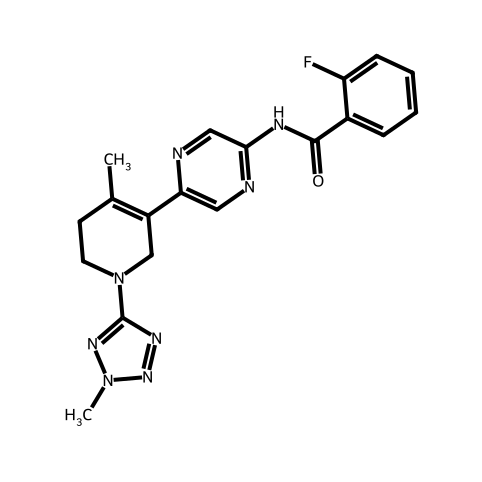 CC1=C(c2cnc(NC(=O)c3ccccc3F)cn2)CN(c2nnn(C)n2)CC1